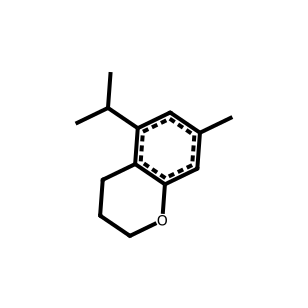 Cc1cc2c(c(C(C)C)c1)CCCO2